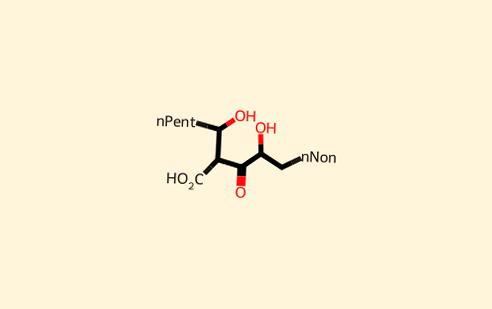 CCCCCCCCCCC(O)C(=O)C(C(=O)O)C(O)CCCCC